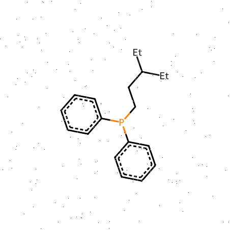 CCC(CC)CCP(c1ccccc1)c1ccccc1